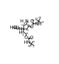 CC(C)(C)NC(=O)OCCC(N)(CCN)CCOC(=O)NC(C)(C)C.Cl.Cl